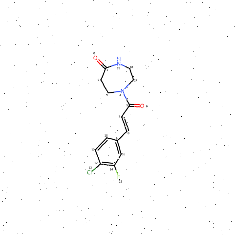 O=C1CCN(C(=O)C=Cc2ccc(Cl)c(F)c2)CCN1